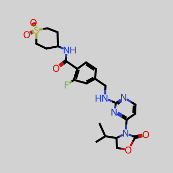 CC(C)C1COC(=O)N1c1ccnc(NCc2ccc(C(=O)NC3CCS(=O)(=O)CC3)c(F)c2)n1